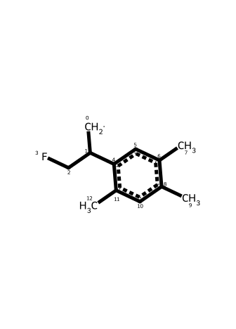 [CH2]C(CF)c1cc(C)c(C)cc1C